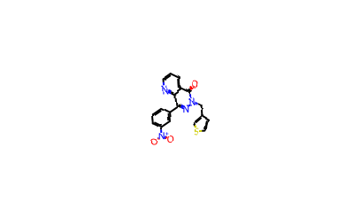 O=c1c2cccnc2c(-c2cccc([N+](=O)[O-])c2)nn1Cc1ccsc1